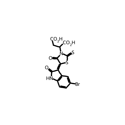 O=C(O)CC(C(=O)O)N1C(=O)C(=C2C(=O)Nc3ccc(Br)cc32)SC1=S